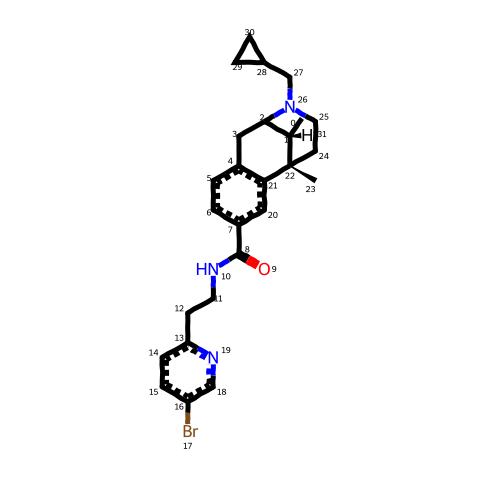 C[C@H]1C2Cc3ccc(C(=O)NCCc4ccc(Br)cn4)cc3[C@@]1(C)CCN2CC1CC1